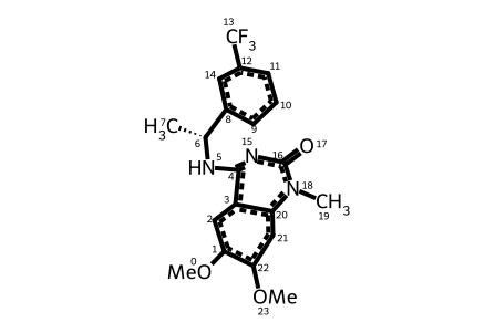 COc1cc2c(N[C@H](C)c3cccc(C(F)(F)F)c3)nc(=O)n(C)c2cc1OC